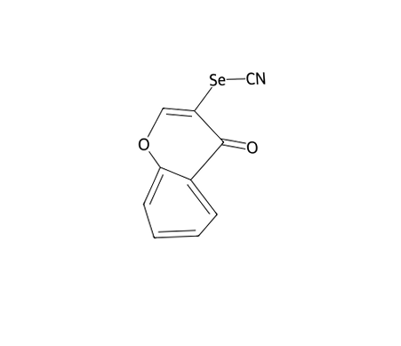 N#C[Se]c1coc2ccccc2c1=O